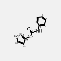 O=C(Nc1ccccc1)Oc1ccsn1